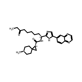 CCC(=O)CCCCC[C@H](NC(=O)[C@H]1CC12CCN(C)CC2)c1ncc(-c2ccc3nccnc3c2)[nH]1